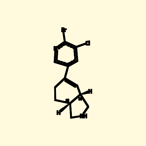 Clc1cc(C2=C[C@H]3CNC[C@H]3CC2)cnc1Br